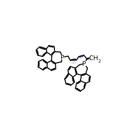 C=C(/C=C\C=C/CP1Cc2ccc3ccccc3c2-c2c(ccc3ccccc23)C1)P1Cc2ccc3ccccc3c2-c2c(ccc3ccccc23)C1